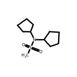 CS(=O)(=O)N(C1CCCC1)C1CCCC1